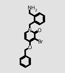 NCc1ccccc1Cn1ccc(OCc2ccccc2)c(Br)c1=O